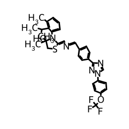 Cc1cccc(N2/C(=C/N=C/c3ccc(-c4ncn(-c5ccc(OC(F)(F)F)cc5)n4)cc3)SCC2(C)O)c1C(C)C